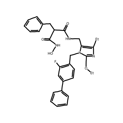 CCOc1nc(CC)c(CNC(=O)C(Cc2ccccc2)C(=O)NO)n1Cc1ccc(-c2ccccc2)cc1F